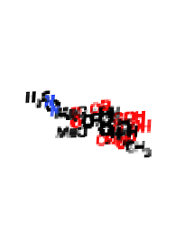 COc1cc([C@@H]2c3cc4c(cc3[C@@H](O[C@@H]3O[C@@H]5CO[C@@H](C)O[C@H]5[C@H](O)[C@H]3O)[C@H]3COC(=O)[C@H]23)OCO4)cc(OC)c1OC(=O)CCCN1CCN(C)CC1